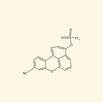 N#Cc1ccc2c(c1)Oc1cccc3c(OS(=O)(=O)C(F)(F)F)ccc-2c13